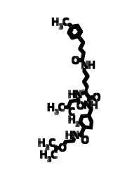 Cc1ccc(CCCC(=O)NCCCC[C@H](NC(=O)CC(C)C)C(=O)NCC2CCC(C(=O)NCCOC(C)C)CC2)cc1